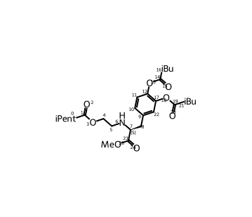 CCCC(C)C(=O)OCCN[C@@H](Cc1ccc(OC(=O)C(C)CC)c(OC(=O)C(C)CC)c1)C(=O)OC